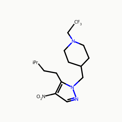 CC(C)CCc1c([N+](=O)[O-])cnn1CC1CCN(CC(F)(F)F)CC1